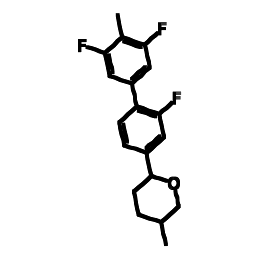 Cc1c(F)cc(-c2ccc(C3CCC(C)CO3)cc2F)cc1F